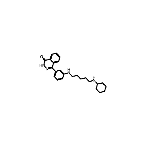 O=c1[nH]nc(-c2cccc(NCCCCCNC3CCCCC3)c2)c2ccccc12